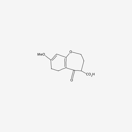 COC1=CC2=C(CC1)C(=O)C(C(=O)O)CCO2